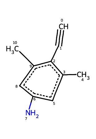 C#Cc1c(C)cc(N)cc1C